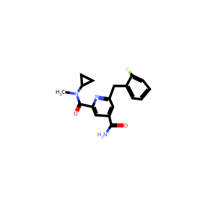 CN(C(=O)c1cc(C(N)=O)cc(Cc2ccccc2F)n1)C1CC1